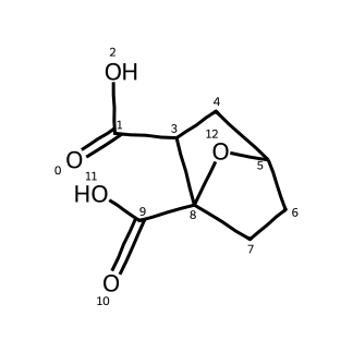 O=C(O)C1CC2CCC1(C(=O)O)O2